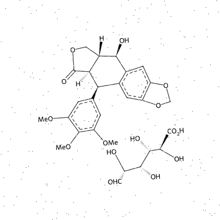 COc1cc([C@@H]2c3cc4c(cc3[C@H](O)[C@H]3COC(=O)[C@H]23)OCO4)cc(OC)c1OC.O=C[C@H](O)[C@@H](O)[C@H](O)[C@H](O)C(=O)O